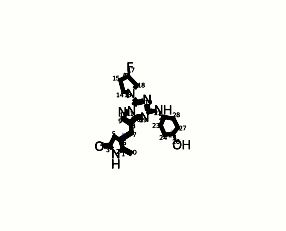 C=C1NC(=O)C/C1=C\c1cnn2c(N3CC[C@@H](F)C3)nc(N[C@H]3CC[C@H](O)CC3)nc12